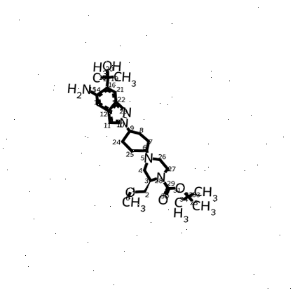 COC[C@H]1CN(C2CCC(n3cc4cc(N)c(C(C)(C)O)cc4n3)CC2)CCN1C(=O)OC(C)(C)C